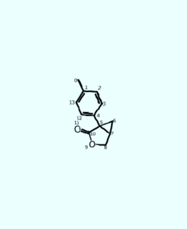 Cc1ccc(C23CC2COC3=O)cc1